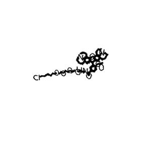 CC(=O)Oc1ccc(C(=O)NCCOCCOCCOCCOCCCCCCCl)cc1C1=c2cc3c4c(c2Oc2c1cc1c5c2CCCN5CCCC1)CCC[N+]=4CCCC3